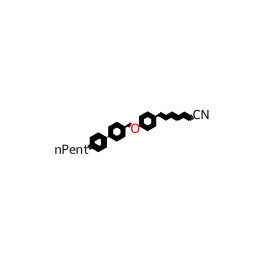 CCCCCc1ccc([C@H]2CC[C@H](CO[C@H]3CC[C@H](CCC=CC=CC#N)CC3)CC2)cc1